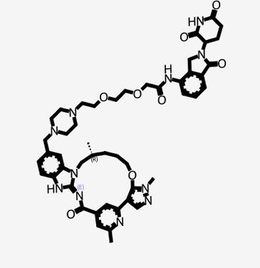 Cc1cc2cc(n1)-c1cnn(C)c1OCCC[C@@H](C)CN1/C(=N/C2=O)Nc2ccc(CN3CCN(CCOCCOCC(=O)Nc4cccc5c4CN(C4CCC(=O)NC4=O)C5=O)CC3)cc21